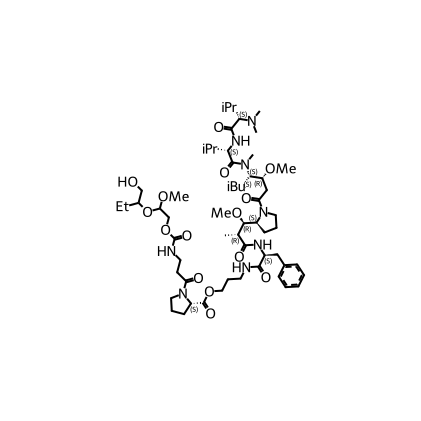 CCC(CO)OC(COC(=O)NCCC(=O)N1CCC[C@H]1C(=O)OCCCNC(=O)[C@H](Cc1ccccc1)NC(=O)[C@H](C)[C@@H](OC)[C@@H]1CCCN1C(=O)C[C@@H](OC)[C@H]([C@@H](C)CC)N(C)C(=O)[C@@H](NC(=O)[C@H](C(C)C)N(C)C)C(C)C)OC